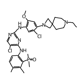 CCN1CCC2(CC1)CN(c1cc(OC)c(Nc3ncc(Cl)c(Nc4ccc(C)c(C)c4P(C)(C)=O)n3)cc1Cl)C2